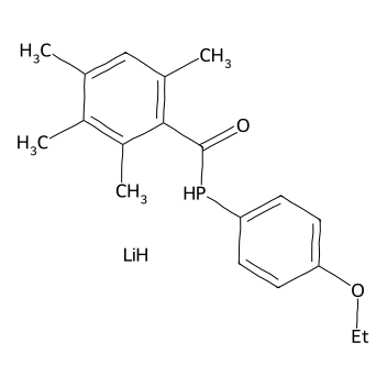 CCOc1ccc(PC(=O)c2c(C)cc(C)c(C)c2C)cc1.[LiH]